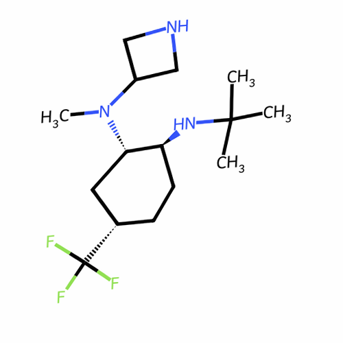 CN(C1CNC1)[C@H]1C[C@@H](C(F)(F)F)CC[C@@H]1NC(C)(C)C